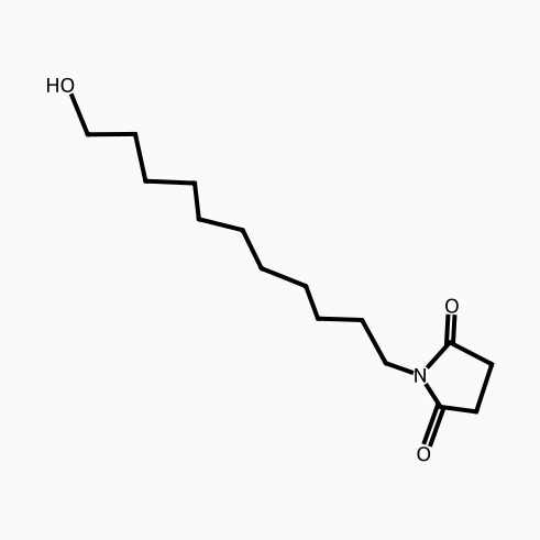 O=C1CCC(=O)N1CCCCCCCCCCCO